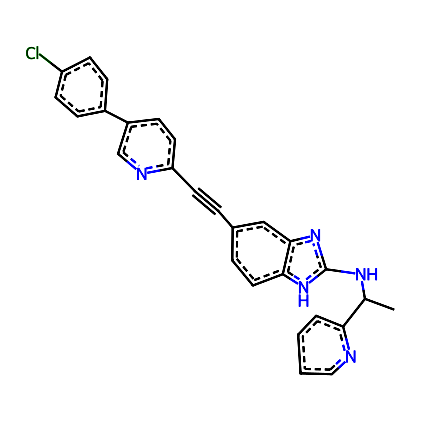 CC(Nc1nc2cc(C#Cc3ccc(-c4ccc(Cl)cc4)cn3)ccc2[nH]1)c1ccccn1